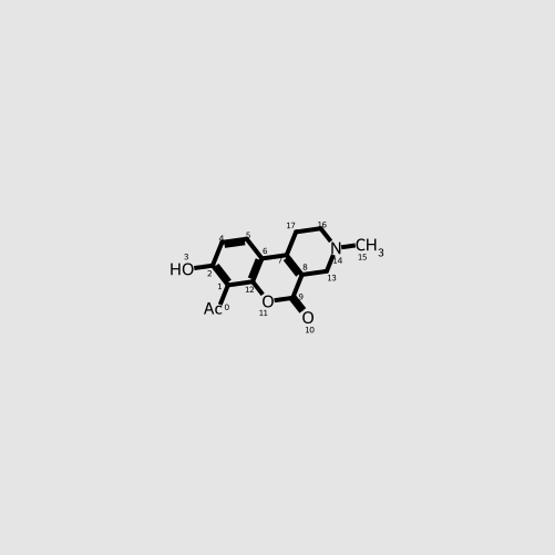 CC(=O)c1c(O)ccc2c3c(c(=O)oc12)CN(C)CC3